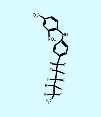 O=[N+]([O-])c1ccc(Nc2ccc(C(F)(F)C(F)(F)C(F)(F)C(F)(F)C(F)(F)C(F)(F)F)cc2)c([N+](=O)[O-])c1